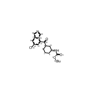 CC(C)(C)OC(=O)NC1CCCC(C(=O)c2cc(Cl)cc3cncn23)C1